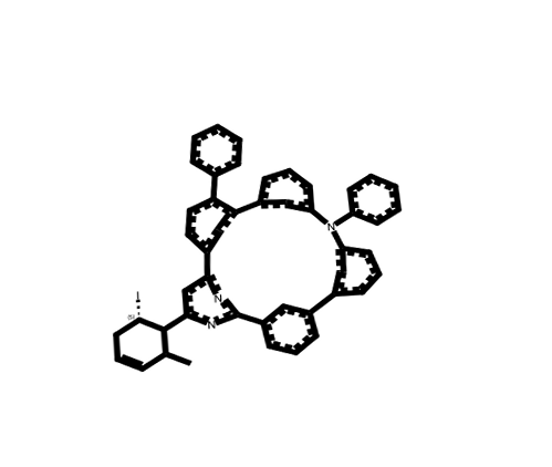 CC1C=CC[C@H](I)C1c1cc2nc(n1)-c1cccc(c1)-c1cccc(c1)N(c1ccccc1)c1cccc(c1)-c1cc-2ccc1-c1ccccc1